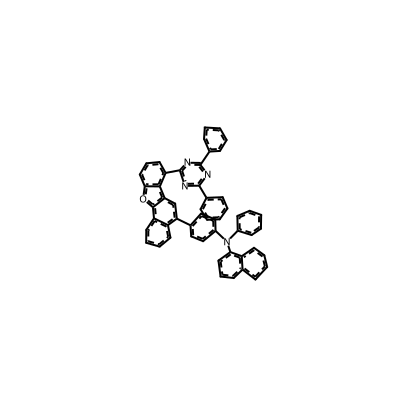 c1ccc(-c2nc(-c3ccccc3)nc(-c3cccc4oc5c6ccccc6c(-c6ccc(N(c7ccccc7)c7cccc8ccccc78)cc6)cc5c34)n2)cc1